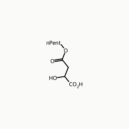 CCCCCOC(=O)CC(O)C(=O)O